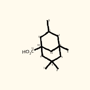 CC1CC2(C)CC(C)(C)CC(C(=O)O)(C1)C2